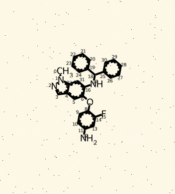 Cn1ncc2cc(Oc3ccc(N)cc3F)c(NC(c3ccccc3)c3ccccc3)cc21